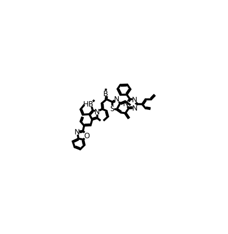 C=C/C=C(\C=C)c1nc(C(=C)/C=c2/sc(C(=B/C)/C=C(\C=C/C)n3c(C)c(/C=C(\C=C)c4nc5ccccc5o4)c(/C=C\C)c3BC)n/c2=C/C)nc(-c2ccccc2)n1